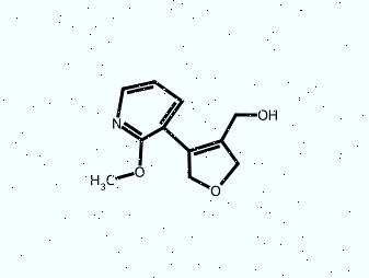 COc1ncccc1C1=C(CO)COC1